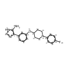 Nc1[nH]nnc1-c1cccc(OC2CCN(c3ccc(F)cc3)CC2)c1